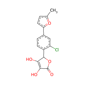 Cc1ccc(-c2ccc(C3OC(=O)C(O)=C3O)c(Cl)c2)o1